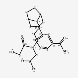 CCC(CC)CN(CCCN1C2CCC1CC(c1cccc(C(N)=O)c1)C2)C(=O)CO